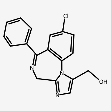 OCc1cnc2n1-c1ccc(Cl)cc1C(c1ccccc1)=NC2